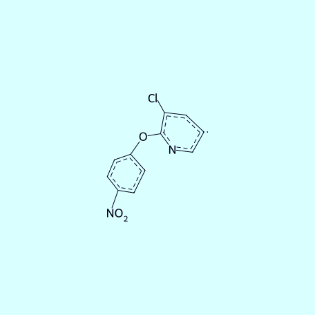 O=[N+]([O-])c1ccc(Oc2nc[c]cc2Cl)cc1